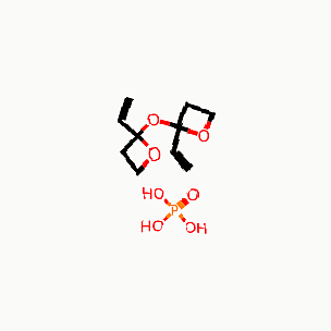 C=CC1(OC2(C=C)CCO2)CCO1.O=P(O)(O)O